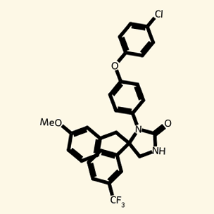 COc1cccc(CC2(c3cccc(C(F)(F)F)c3)CNC(=O)N2c2ccc(Oc3ccc(Cl)cc3)cc2)c1